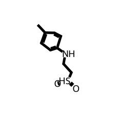 Cc1ccc(NCC[SH](=O)=O)cc1